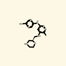 N#Cc1cnc(Nc2cc(NC[C@@H]3CNCCO3)c(I)nn2)cn1